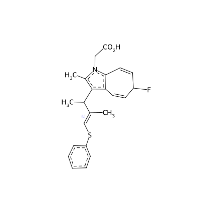 C/C(=C\Sc1ccccc1)C(C)c1c2c(n(CC(=O)O)c1C)C=CC(F)C=C2